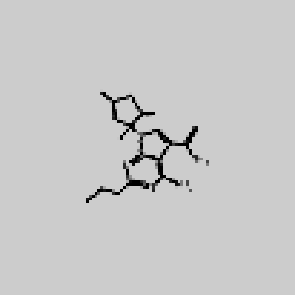 C=C(N)c1cn(C2(C)CC(C)CC2C)c2nc(CCC)nc(N)c12